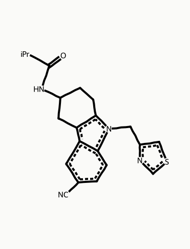 CC(C)C(=O)NC1CCc2c(c3cc(C#N)ccc3n2Cc2cscn2)C1